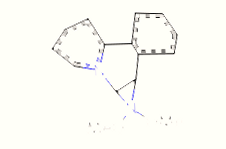 CO[N+]1(OC)C2c3ccccc3-c3cccc[n+]3C21